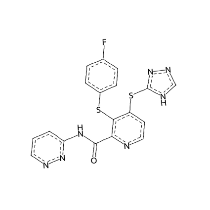 O=C(Nc1cccnn1)c1nccc(Sc2nnc[nH]2)c1Sc1ccc(F)cc1